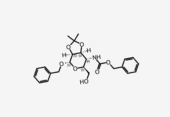 CC1(C)O[C@@H]2[C@@H](OCc3ccccc3)O[C@H](CO)[C@@H](NC(=O)OCc3ccccc3)[C@@H]2O1